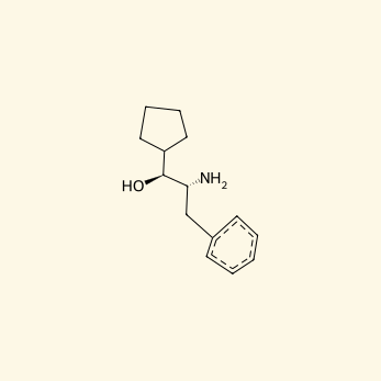 N[C@H](Cc1ccccc1)[C@@H](O)C1CCCC1